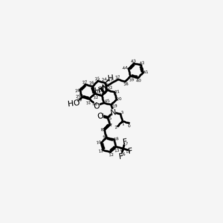 CC(C)CN(C(=O)/C=C/c1cccc(C(F)(F)F)c1)C1CC[C@@]2(O)[C@H]3Cc4ccc(O)c5c4[C@@]2(CCN3CCc2ccccc2)C1O5